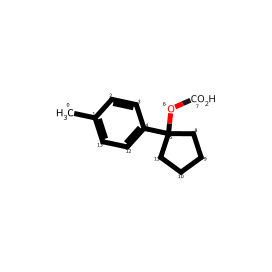 Cc1ccc(C2(OC(=O)O)CCCC2)cc1